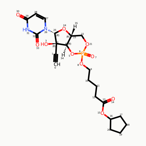 C#C[C@@]1(O)[C@@H]2OP(=O)(OCCCCC(=O)OC3CCCC3)OC[C@H]2O[C@H]1n1ccc(=O)[nH]c1=O